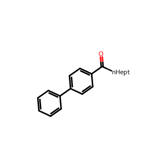 CCCCCCCC(=O)c1ccc(-c2ccccc2)cc1